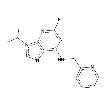 CC(C)n1cnc2c(NCc3ccccn3)nc(F)nc21